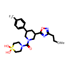 COCCc1noc(C2CC(c3ccc(C(F)(F)F)cc3)CN(C(=O)N3CCS(O)(O)CC3)C2)n1